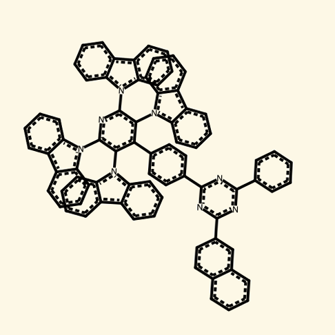 c1ccc(-c2nc(-c3ccc(-c4c(-n5c6ccccc6c6ccccc65)c(-n5c6ccccc6c6ccccc65)nc(-n5c6ccccc6c6ccccc65)c4-n4c5ccccc5c5ccccc54)cc3)nc(-c3ccc4ccccc4c3)n2)cc1